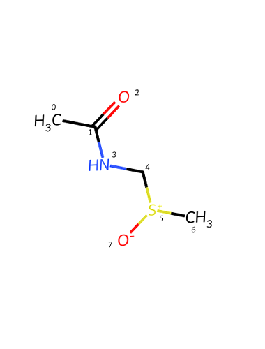 CC(=O)NC[S+](C)[O-]